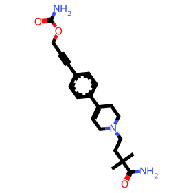 CC(C)(CCN1CC=C(c2ccc(C#CCOC(N)=O)cc2)CC1)C(N)=O